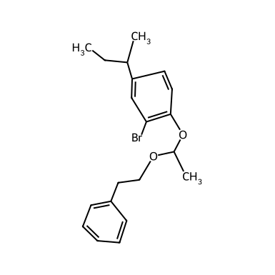 CCC(C)c1ccc(OC(C)OCCc2ccccc2)c(Br)c1